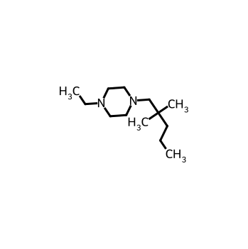 CCCC(C)(C)CN1CCN(CC)CC1